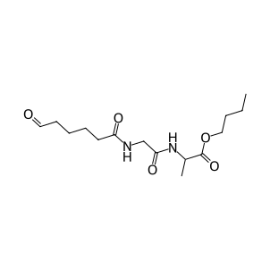 CCCCOC(=O)C(C)NC(=O)CNC(=O)CCCCC=O